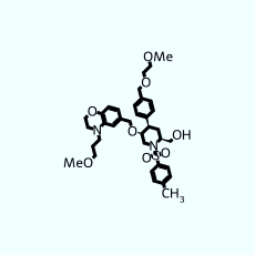 COCCCN1CCOc2ccc(CO[C@H]3CN(S(=O)(=O)c4ccc(C)cc4)[C@H](CO)C[C@@H]3c3ccc(COCCOC)cc3)cc21